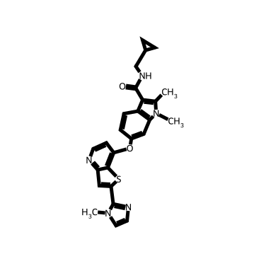 Cc1c(C(=O)NCC2CC2)c2ccc(Oc3ccnc4cc(-c5nccn5C)sc34)cc2n1C